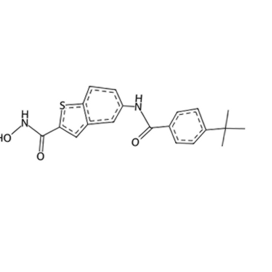 CC(C)(C)c1ccc(C(=O)Nc2ccc3sc(C(=O)NO)cc3c2)cc1